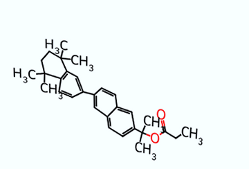 CCC(=O)OC(C)(C)c1ccc2cc(-c3ccc4c(c3)C(C)(C)CCC4(C)C)ccc2c1